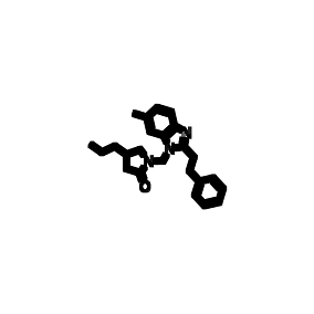 CCCC1CC(=O)N(Cn2c(CCc3ccccc3)nc3ccc(C)cc32)C1